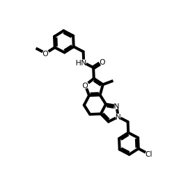 COc1cccc(CNC(=O)c2oc3c(c2C)-c2nn(Cc4cccc(Cl)c4)cc2CC3)c1